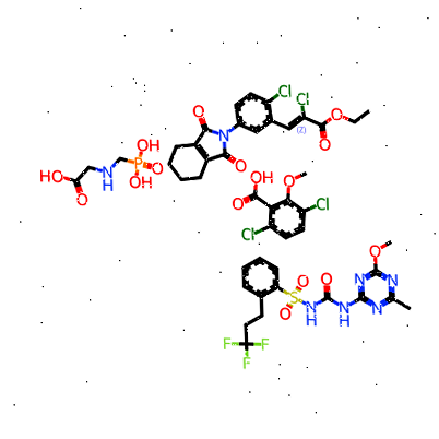 CCOC(=O)/C(Cl)=C/c1cc(N2C(=O)C3=C(CCCC3)C2=O)ccc1Cl.COc1c(Cl)ccc(Cl)c1C(=O)O.COc1nc(C)nc(NC(=O)NS(=O)(=O)c2ccccc2CCC(F)(F)F)n1.O=C(O)CNCP(=O)(O)O